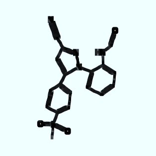 CS(=O)(=O)c1ccc(-c2cc(C#N)nn2-c2ccccc2NC=O)cc1